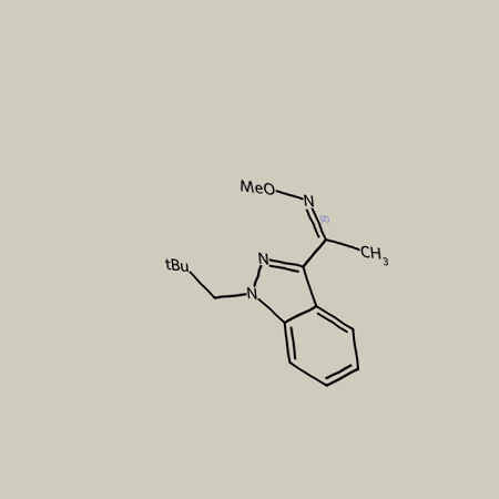 CO/N=C(/C)c1nn(CC(C)(C)C)c2ccccc12